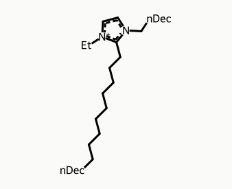 CCCCCCCCCCCCCCCCCCCc1n(CCCCCCCCCCC)cc[n+]1CC